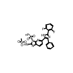 CCCS(=O)(=O)n1c(NOS(C)(=O)=O)nc2ccc(-c3[nH]c(-c4c(F)cccc4F)nc3-c3ccccc3)nc21